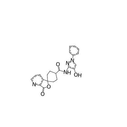 O=C1OC2(CCC(C(=O)Nc3nn(-c4ccccc4)cc3O)CC2)c2cccnc21